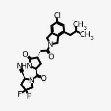 CC(C)Cc1cc(Cl)cc2c1CN(C(=O)C[C@@H]1C[C@@H](C(=O)N3CC(F)(F)C[C@H]3C#N)NC1=O)C2